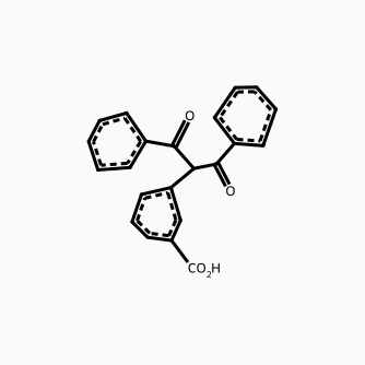 O=C(O)c1cccc(C(C(=O)c2ccccc2)C(=O)c2ccccc2)c1